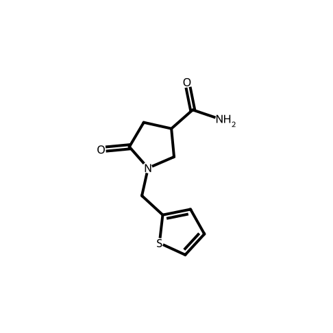 NC(=O)C1CC(=O)N(Cc2cccs2)C1